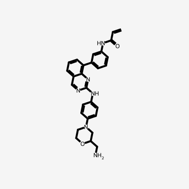 C=CC(=O)Nc1cccc(-c2cccc3cnc(Nc4ccc(N5CCOC(CN)C5)cc4)nc23)c1